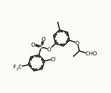 Cc1cc(OC(C)C=O)cc(OS(=O)(=O)c2cc(C(F)(F)F)ccc2Cl)c1